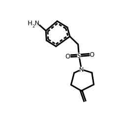 C=C1CCN(S(=O)(=O)Cc2ccc(N)cc2)CC1